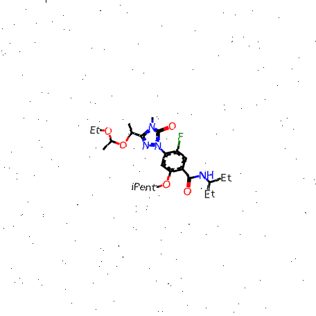 CCCC(C)Oc1cc(-n2nc(C(C)OC(C)OCC)n(C)c2=O)c(F)cc1C(=O)NC(CC)CC